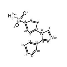 CS(=O)(=O)c1ccc(-n2cncc2-c2ccccc2)cc1